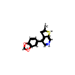 CC(=O)c1cc2c(-c3ccc4c(c3)OCO4)cncc2s1